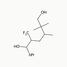 CCCC(O)C(CC(C)C(C)(C)CO)C(F)(F)F